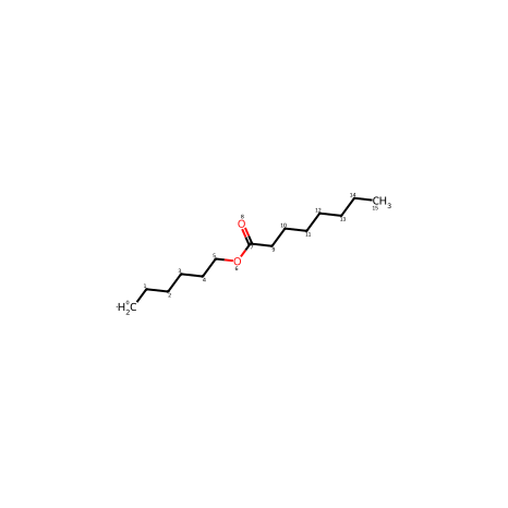 [CH2]CCCCCOC(=O)CCCCCCC